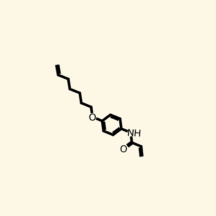 C=CCCCCCOc1ccc(NC(=O)C=C)cc1